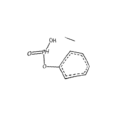 CC.O=[PH](O)Oc1ccccc1